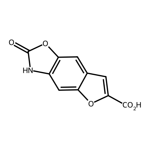 O=C(O)c1cc2cc3oc(=O)[nH]c3cc2o1